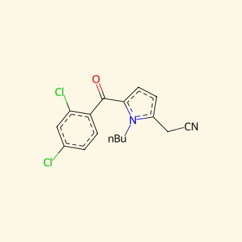 CCCCn1c(CC#N)ccc1C(=O)c1ccc(Cl)cc1Cl